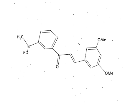 COc1cc(/C=C/C(=O)c2cccc(B(C)O)c2)cc(OC)c1